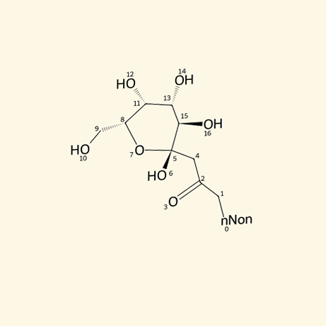 CCCCCCCCCCC(=O)C[C@]1(O)O[C@H](CO)[C@H](O)[C@H](O)[C@H]1O